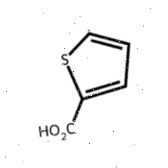 O=C(O)c1cc[c]s1